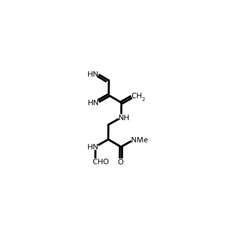 C=C(NCC(NC=O)C(=O)NC)C(=N)C=N